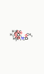 COc1cccc2c1CN(CCc1c(OC)c(OC)c(OC)c(OC)c1OC)CC2